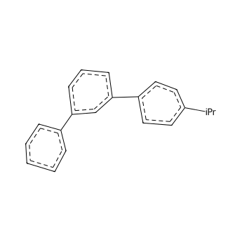 CC(C)c1ccc(-c2cccc(-c3ccccc3)c2)cc1